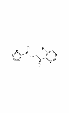 O=C(CCC(=O)c1ncccc1F)c1cccs1